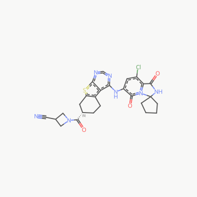 N#CC1CN(C(=O)[C@H]2CCc3c(sc4ncnc(Nc5cc(Cl)c6n(c5=O)C5(CCCC5)NC6=O)c34)C2)C1